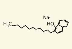 CCCCCCCCCCCCc1ccc2ccccc2c1O.[Na]